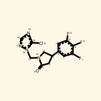 O=C1CC(c2cc(F)c(F)c(F)c2)CN1Cn1ncnc1Cl